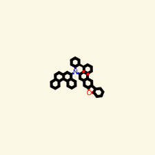 c1ccc(-c2ccccc2N(c2ccc3cc4c(cc3c2)oc2ccccc24)c2cc3ccc4ccccc4c3c3ccccc23)cc1